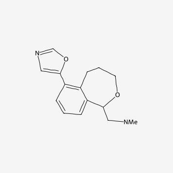 CNCC1OCCCc2c(-c3cnco3)cccc21